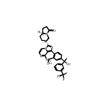 CC(O)(c1cccc(C(F)(F)F)c1)c1ccc(-c2nc([C@@H]3CC[C@H]4CCC(=O)N4C3)n3ccnc(N)c23)c(CO)c1